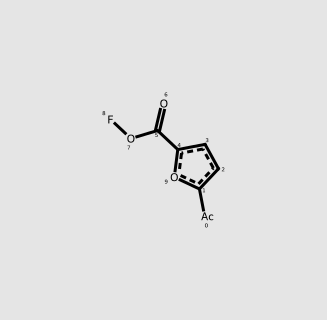 CC(=O)c1ccc(C(=O)OF)o1